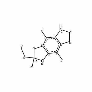 Cc1c2c(c(C)c3c1NCC3)OC(C)(CI)C2